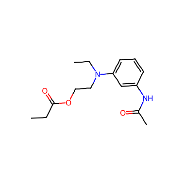 CCC(=O)OCCN(CC)c1cccc(NC(C)=O)c1